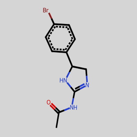 CC(=O)NC1=NCC(c2ccc(Br)cc2)N1